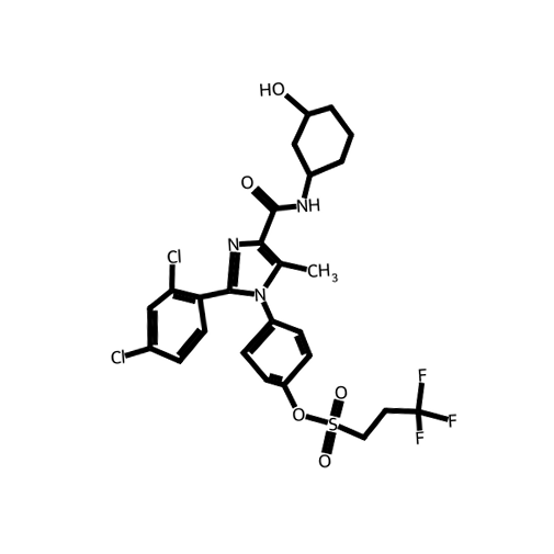 Cc1c(C(=O)NC2CCCC(O)C2)nc(-c2ccc(Cl)cc2Cl)n1-c1ccc(OS(=O)(=O)CCC(F)(F)F)cc1